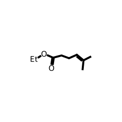 CCOC(=O)CCC=C(C)C